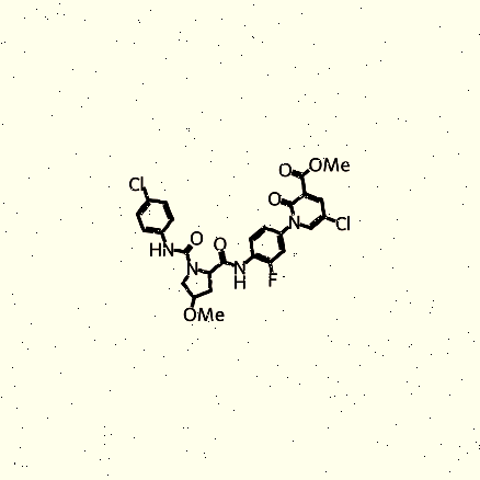 COC(=O)c1cc(Cl)cn(-c2ccc(NC(=O)C3CC(OC)CN3C(=O)Nc3ccc(Cl)cc3)c(F)c2)c1=O